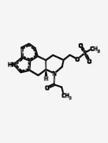 CCC(=O)N1CC(COS(C)(=O)=O)CC2c3cccc4[nH]cc(c34)C[C@H]21